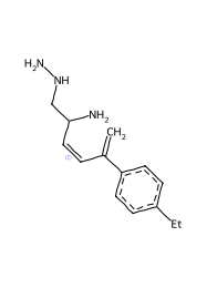 C=C(/C=C\C(N)CNN)c1ccc(CC)cc1